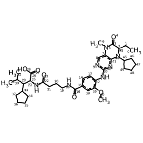 CC[C@@H]1C(=O)N(C)c2cnc(Nc3ccc(C(=O)NCCCC(=O)N[C@H](C(=O)O)C(C(C)C)C4CCCC4)cc3OC)nc2N1C1CCCC1